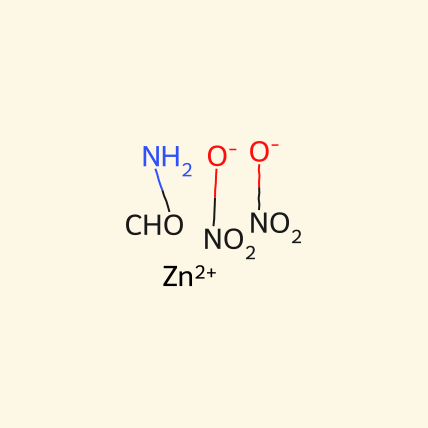 NC=O.O=[N+]([O-])[O-].O=[N+]([O-])[O-].[Zn+2]